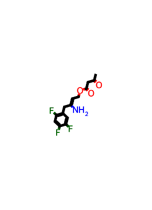 CC(=O)CC(=O)OCC=C(N)Cc1cc(F)c(F)cc1F